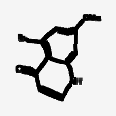 COc1cc(Br)c2c(=O)cc[nH]c2c1